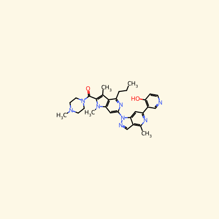 CCCc1nc(-n2ncc3c(C)nc(-c4cnccc4O)cc32)cc2c1c(C)c(C(=O)N1CCN(C)CC1)n2C